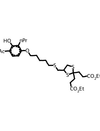 CCCc1c(OCCCCCSCC2CSC(CCC(=O)OCC)(CCC(=O)OCC)S2)ccc(C(C)=O)c1O